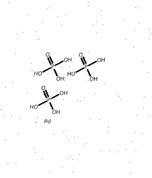 O=P(O)(O)O.O=P(O)(O)O.O=P(O)(O)O.[Pd]